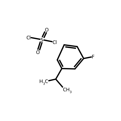 CC(C)c1cccc(F)c1.O=S(=O)(Cl)Cl